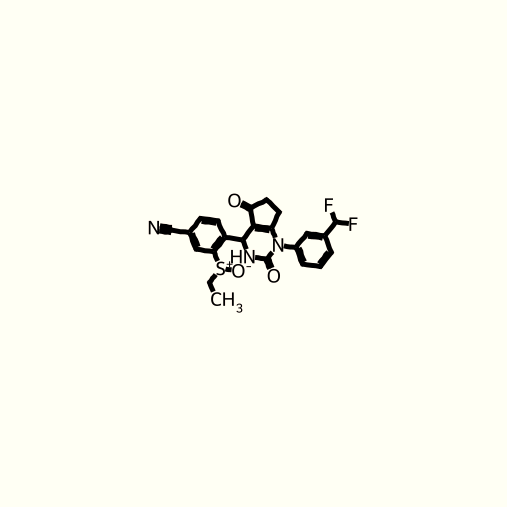 CC[S+]([O-])c1cc(C#N)ccc1C1NC(=O)N(c2cccc(C(F)F)c2)C2=C1C(=O)CC2